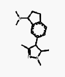 CC1=NN(C)C(C)C1c1ccc2c(c1)C(N(C)C)CC2